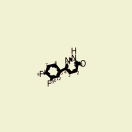 O=c1ccc(-c2ccc(F)c(F)c2)n[nH]1